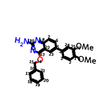 COc1ccc(-c2ccc3nc(N)nc(OCc4ccccc4)c3c2)cc1OC